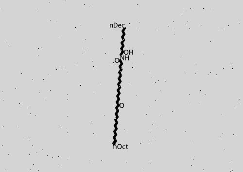 CCCCCCCCC=CCCCCCCCCCCCC(=O)CCCCCCCCCCCCCCC(=O)NC[C@H](O)CCCCCCCCCCCCCCCCCC